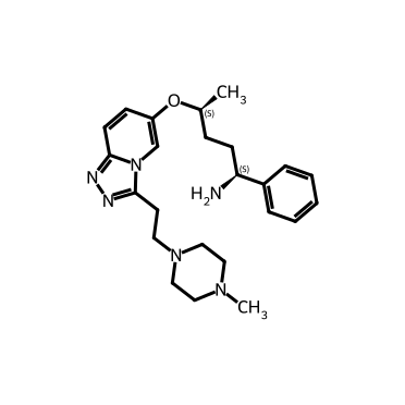 C[C@@H](CC[C@H](N)c1ccccc1)Oc1ccc2nnc(CCN3CCN(C)CC3)n2c1